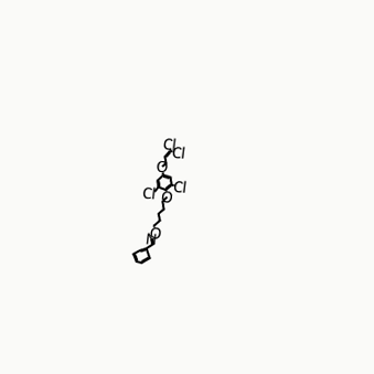 ClC(Cl)=CCOc1cc(Cl)c(OCCCCCON=Cc2ccccc2)c(Cl)c1